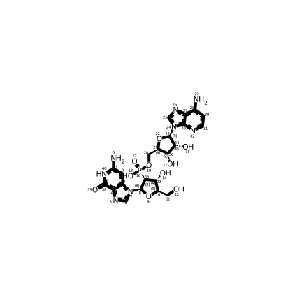 Nc1cc2c(ncn2[C@@H]2O[C@H](CO)[C@@H](O)[C@H]2P(=O)(O)OC[C@H]2O[C@@H](n3cnc4c(N)ccnc43)[C@H](O)[C@@H]2O)c(=O)[nH]1